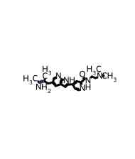 C/C(N)=C(\C)Cc1cnc2[nH]c(-c3ccnc(C(=O)NCCN(C)C)c3)cc2c1